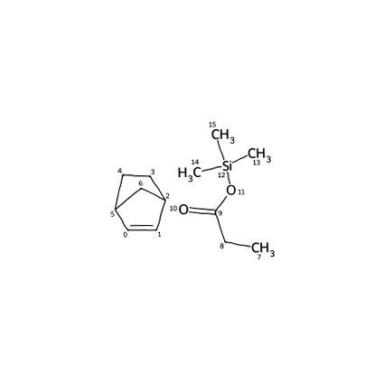 C1=CC2CCC1C2.CCC(=O)O[Si](C)(C)C